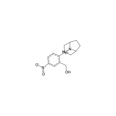 CN1C2CCC1CN(c1ccc([N+](=O)[O-])cc1CO)C2